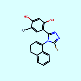 Cc1cc(-c2nnc(S)n2C2=CCCc3ccccc32)c(O)cc1O